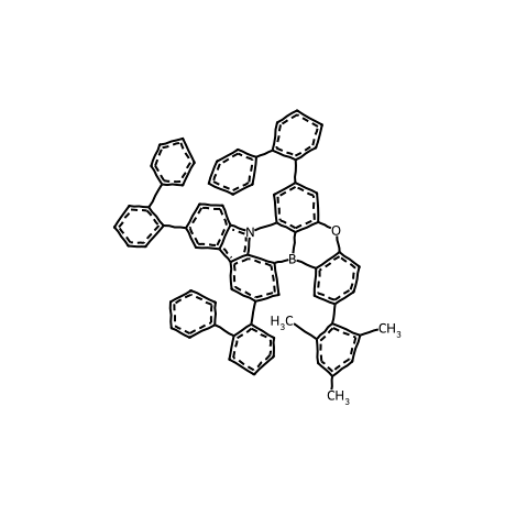 Cc1cc(C)c(-c2ccc3c(c2)B2c4c(cc(-c5ccccc5-c5ccccc5)cc4-n4c5ccc(-c6ccccc6-c6ccccc6)cc5c5cc(-c6ccccc6-c6ccccc6)cc2c54)O3)c(C)c1